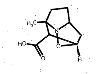 CC12CCC3C[C@H](ON31)C2C(=O)O